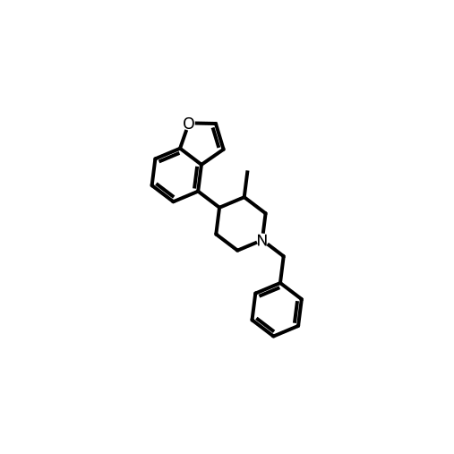 CC1CN(Cc2ccccc2)CCC1c1cccc2occc12